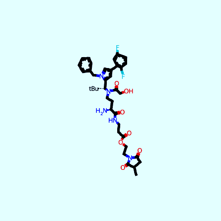 CC1CC(=O)N(CCOC(=O)CCNC(=O)[C@@H](N)CCN(C(=O)CO)[C@@H](c2cc(-c3cc(F)ccc3F)cn2Cc2ccccc2)C(C)(C)C)C1=O